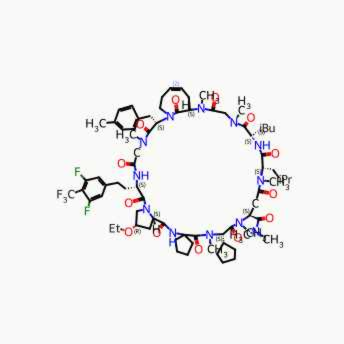 CCO[C@@H]1C[C@H]2C(=O)NC3(CCCC3)C(=O)N(C)[C@@H](C3CCCC3)C(=O)N(C)[C@H](C(=O)N(C)C)CC(=O)N(C)[C@@H](CC(C)C)C(=O)N[C@@H]([C@@H](C)CC)C(=O)N(C)CC(=O)N(C)[C@H]3C/C=C\CCN(C3=O)[C@@H](Cc3ccc(C)cc3)C(=O)N(C)CC(=O)N[C@@H](CCc3cc(F)c(C(F)(F)F)c(F)c3)C(=O)N2C1